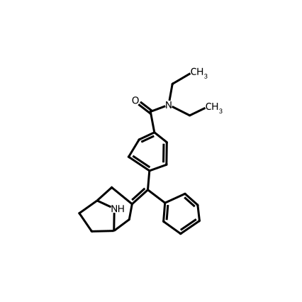 CCN(CC)C(=O)c1ccc(C(=C2CC3CCC(C2)N3)c2ccccc2)cc1